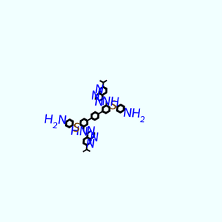 CC(C)c1ccc2c(Nc3cc(-c4ccc(-c5ccc(Sc6ccc(N)cc6)c(Nc6ncnc7nc(C(C)C)ccc67)c5)cc4)ccc3Sc3ccc(N)cc3)ncnc2n1